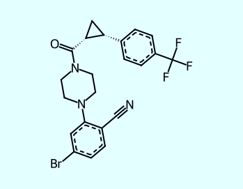 N#Cc1ccc(Br)cc1N1CCN(C(=O)[C@@H]2C[C@@H]2c2ccc(C(F)(F)F)cc2)CC1